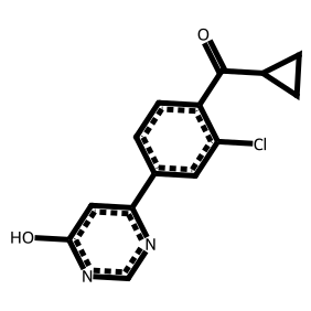 O=C(c1ccc(-c2cc(O)ncn2)cc1Cl)C1CC1